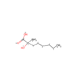 CCCCCCC(O)([SiH3])C(=O)O